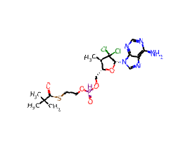 C[C@@H]1[C@@H](CO[PH](=O)OCCSC(=O)C(C)(C)C)O[C@@H](n2cnc3c(N)ncnc32)C1(Cl)Cl